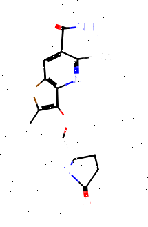 COc1nc2c(OC[C@@H]3CCC(=O)N3)c(C)sc2cc1C(N)=O